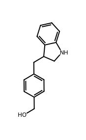 OCc1ccc(CC2CNc3ccccc32)cc1